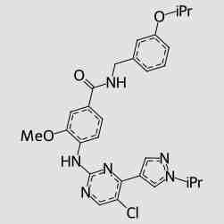 COc1cc(C(=O)NCc2cccc(OC(C)C)c2)ccc1Nc1ncc(Cl)c(-c2cnn(C(C)C)c2)n1